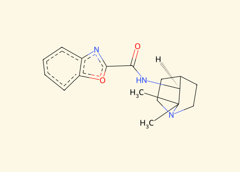 CC1(C)[C@@H](NC(=O)c2nc3ccccc3o2)C2CCN1CC2